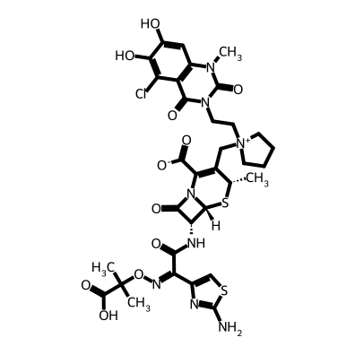 C[C@@H]1S[C@@H]2[C@H](NC(=O)/C(=N\OC(C)(C)C(=O)O)c3csc(N)n3)C(=O)N2C(C(=O)[O-])=C1C[N+]1(CCn2c(=O)c3c(Cl)c(O)c(O)cc3n(C)c2=O)CCCC1